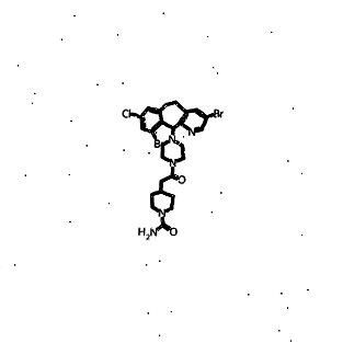 NC(=O)N1CCC(CC(=O)N2CCN(C3c4ncc(Br)cc4CCc4cc(Cl)cc(Br)c43)CC2)CC1